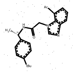 CC(=O)c1cccc2ncn(CC(=O)N[C@@H](C)c3ccc(C(C)(C)C)cc3)c12